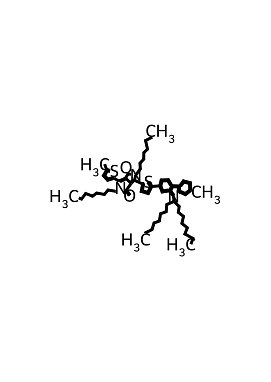 CCCCCCCCC(CCCCCCCC)n1c2cc(C)ccc2c2ccc(-c3ccc(C4=C5C(=O)N(CCCCCCCC)C(c6ccc(C)s6)=C5C(=O)N4CCCCCCCC)s3)cc21